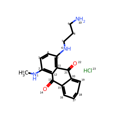 CNc1ccc(NCCCN)c2c1C(=O)c1ccccc1C2=O.Cl